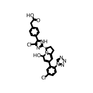 O=C(O)Cc1ccc(-c2[nH]c([C@@H]3CCC4=CC(c5cc(Cl)ccc5-n5cnnn5)=CC(O)N43)nc2Cl)cc1